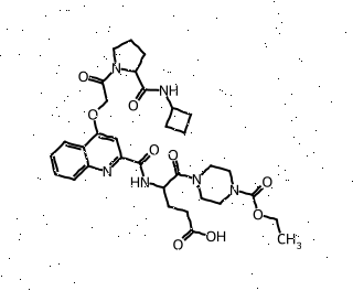 CCOC(=O)N1CCN(C(=O)C(CCC(=O)O)NC(=O)c2cc(OCC(=O)N3CCCC3C(=O)NC3CCC3)c3ccccc3n2)CC1